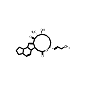 CC/C=C/[C@H]1CCC[C@H](O)[C@@H](C)C(=O)C2=CC3C(C=CC4CCCC43)C2CC(=O)O1